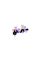 C=CC(=O)Nc1cnc(CN/C=C2\C(=O)NC(=O)c3ccc(I)cc32)cc1O